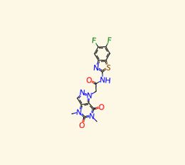 Cn1c(=O)c2c(cnn2CC(=O)Nc2nc3cc(F)c(F)cc3s2)n(C)c1=O